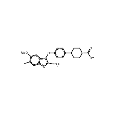 COc1cc2c(Oc3ccc(C4CCN(C(=O)C(C)C)CC4)cc3)c(C(=O)O)sc2cc1C